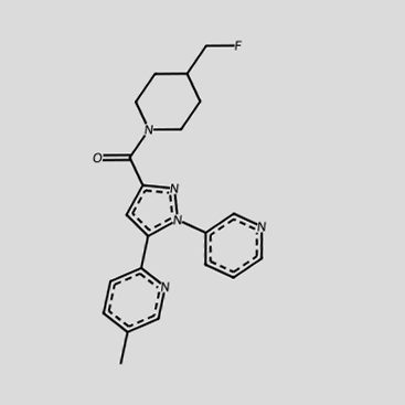 Cc1ccc(-c2cc(C(=O)N3CCC(CF)CC3)nn2-c2cccnc2)nc1